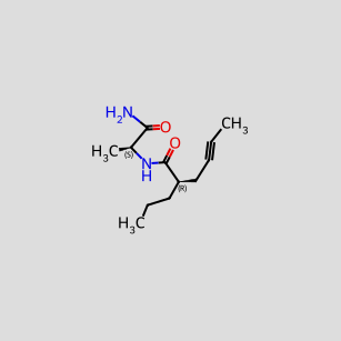 CC#CC[C@@H](CCC)C(=O)N[C@@H](C)C(N)=O